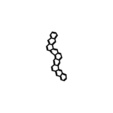 c1ccc2cc3c(ccc4cc5c(ccc6cc7c(ccc8cc9ccccc9cc87)cc65)cc43)cc2c1